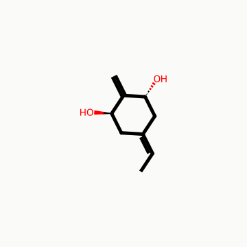 C=C1[C@H](O)CC(=CC)C[C@H]1O